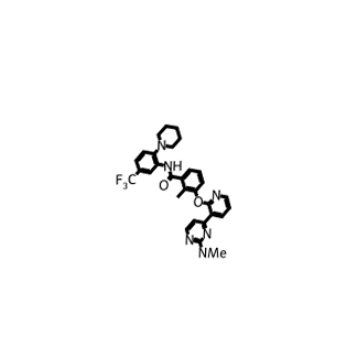 CNc1nccc(-c2cccnc2Oc2cccc(C(=O)Nc3cc(C(F)(F)F)ccc3N3CCCCC3)c2C)n1